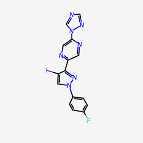 Fc1ccc(-n2cc(I)c(-c3cnc(-n4cncn4)cn3)n2)cc1